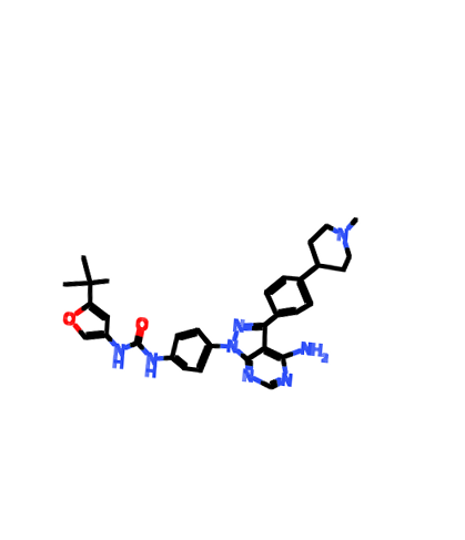 CN1CCC(c2ccc(-c3nn(-c4ccc(NC(=O)Nc5coc(C(C)(C)C)c5)cc4)c4ncnc(N)c34)cc2)CC1